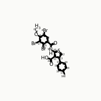 COc1c(Br)cc(C(=O)Nc2scc(-c3ccc(I)cc3)c2C(=O)O)c(Br)c1Br